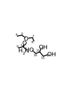 CC(N)=O.CCOCC.OCC(O)CO